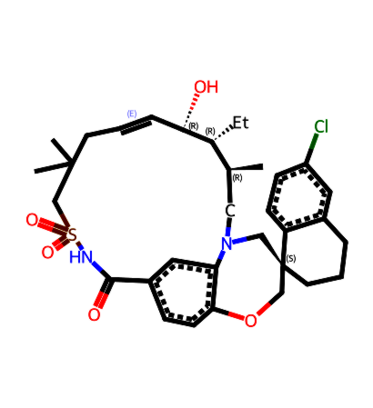 CC[C@H]1[C@@H](O)/C=C/CC(C)(C)CS(=O)(=O)NC(=O)c2ccc3c(c2)N(C[C@@H]1C)C[C@@]1(CCCc2cc(Cl)ccc21)CO3